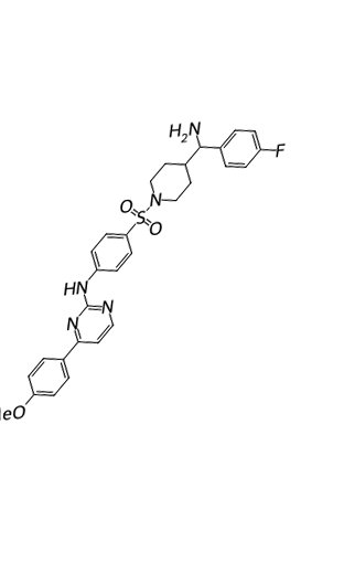 COc1ccc(-c2ccnc(Nc3ccc(S(=O)(=O)N4CCC(C(N)c5ccc(F)cc5)CC4)cc3)n2)cc1